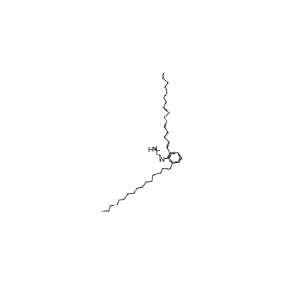 CCCCCCCCCCCCCCCCc1cccc(CCCCCCCCCCCCCCCC)c1N=C=N